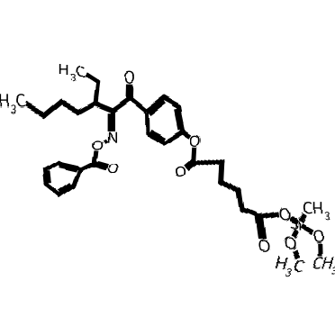 CCCCC(CC)/C(=N\OC(=O)c1ccccc1)C(=O)c1ccc(OC(=O)CCCCC(=O)O[Si](C)(OC)OC)cc1